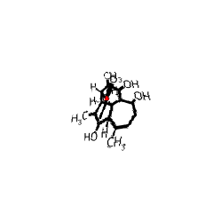 CC1C(O)[C@H]2C(O)CC[C@@H](C)[C@@H]3C(O)C(C)[C@H]4[C@H]1C(=O)O[C@@]234